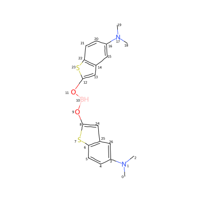 CN(C)c1ccc2sc(OBOc3cc4cc(N(C)C)ccc4s3)cc2c1